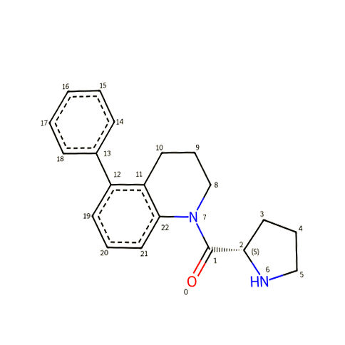 O=C([C@@H]1CCCN1)N1CCCc2c(-c3ccccc3)cccc21